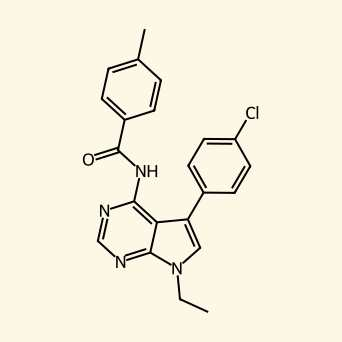 CCn1cc(-c2ccc(Cl)cc2)c2c(NC(=O)c3ccc(C)cc3)ncnc21